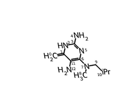 C=C1NC(N)=NC(N(C)CC(C)C)=C1N